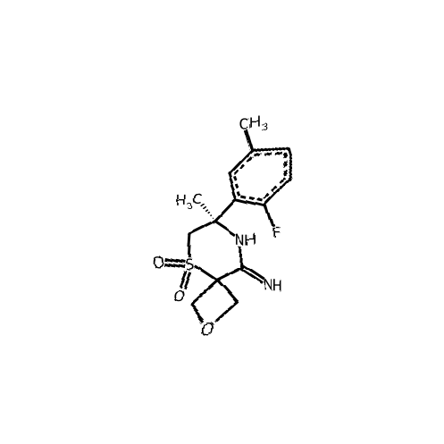 Cc1ccc(F)c([C@]2(C)CS(=O)(=O)C3(COC3)C(=N)N2)c1